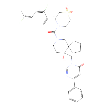 C=C(/C(F)=C\C=C(/C)F)[C@@H]1CS(=O)(=O)CCN1C(=O)N1CC[C@@](O)(Cn2cnc(-c3ccccc3)cc2=O)C2(CCCC2)C1